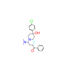 CN(C)C(CC(F)C(=O)c1ccccc1)N1CCC(O)(c2ccc(Cl)cc2)CC1